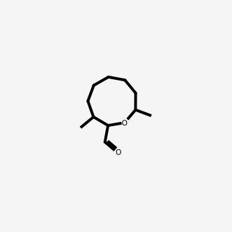 CC1CCCCCC(C)C(C=O)O1